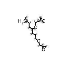 C[SiH2]CCC(CCCOCC1CO1)OCC1CO1